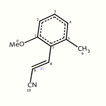 COc1cccc(C)c1/C=C/C#N